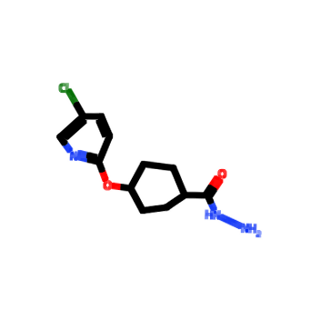 NNC(=O)C1CCC(Oc2ccc(Cl)cn2)CC1